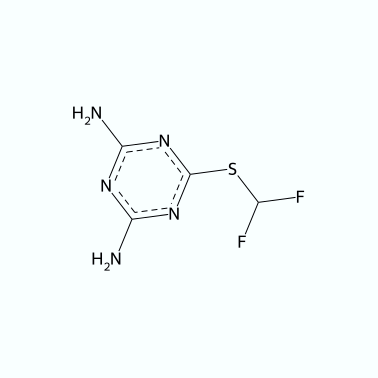 Nc1nc(N)nc(SC(F)F)n1